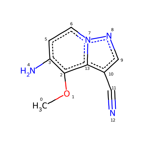 COc1c(N)ccn2ncc(C#N)c12